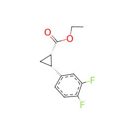 CCOC(=O)[C@H]1C[C@H]1c1ccc(F)c(F)c1